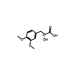 COc1ccc(C[C@@H](O)C(=O)O)cc1OC